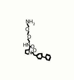 NCCOCCOCCNC(=O)C1CCCN1C(=O)Cc1ccc(-c2ccccc2)cc1